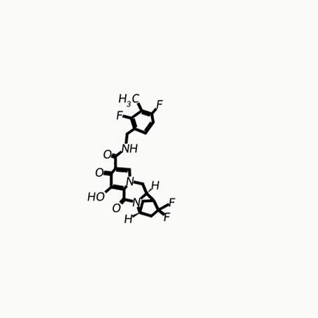 Cc1c(F)ccc(CNC(=O)c2cn3c(c(O)c2=O)C(=O)N2[C@@H]4CC([C@@H]2C3)C(F)(F)C4)c1F